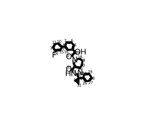 O=C([C@@H](O)c1cccc(-c2cccc(F)c2)c1)N1CCCc2nc(C3(c4ccccc4)CC3)[nH]c(=O)c2C1